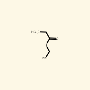 O=C(O)CC(=O)O[CH2][Na]